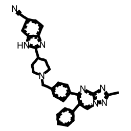 Cc1nc2nc(-c3ccc(CN4CCC(c5nc6ccc(C#N)cc6[nH]5)CC4)cc3)c(-c3ccccc3)cn2n1